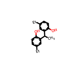 CCc1c[c]c(O)c(C(C)c2cc(CC)ccc2O)c1